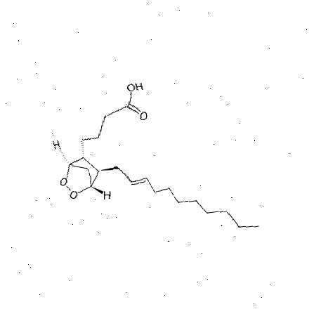 CCCCCCCCC=CC[C@@H]1[C@@H](CCCC(=O)O)[C@H]2C[C@H]1OO2